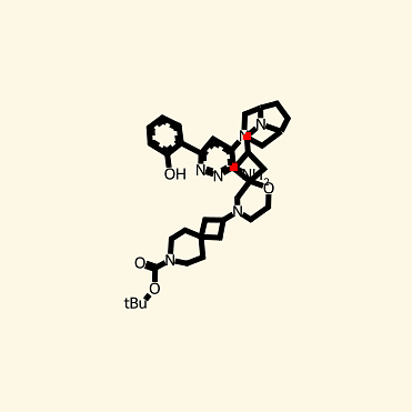 CC(C)(C)OC(=O)N1CCC2(CC1)CC(N1CCOC3(CC(CN4C5CCC4CN(c4cc(-c6ccccc6O)nnc4N)C5)C3)C1)C2